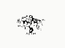 C=C(c1ccc(O)c(O)c1)N(C[C@H](O)C(C(=O)[C@@H](NC(C)=O)C(C)C)C(N)c1ccccc1)NC(=O)[C@@H](NC(C)=O)C(C)C